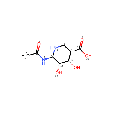 CC(=O)N[C@H]1NC[C@H](C(=O)O)[C@H](O)[C@@H]1O